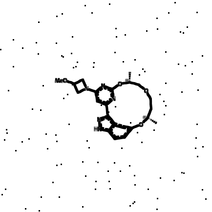 COC1CN(c2cc3nc(n2)O[C@H](C)COCC[C@H](C)Oc2ccc4[nH]nc-3c4c2)C1